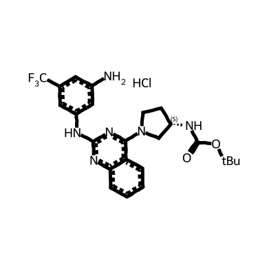 CC(C)(C)OC(=O)N[C@H]1CCN(c2nc(Nc3cc(N)cc(C(F)(F)F)c3)nc3ccccc23)C1.Cl